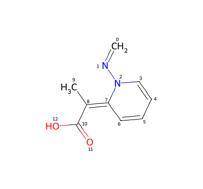 C=NN1C=CC=C/C1=C(/C)C(=O)O